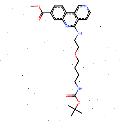 COC(=O)c1ccc2c(c1)nc(NCCOCCCCNC(=O)OC(C)(C)C)c1ccncc12